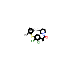 C=C(C(=O)N1CCCC(C(=O)OCC)C1)c1ccc(Sc2ccccc2C(C)C)c(Cl)c1Cl